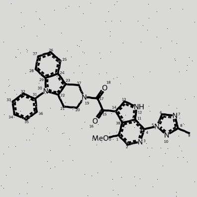 COc1cnc(-n2cnc(C)n2)c2[nH]cc(C(=O)C(=O)N3CCc4c(c5ccccc5n4-c4ccccc4)C3)c12